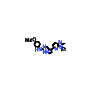 CCn1c(C)nc2ccc(-c3ccn4nc(N[C@H]5CC[C@H](OC)CC5)ncc34)nc21